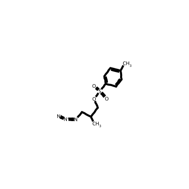 Cc1ccc(S(=O)(=O)OCC(C)CN=[N+]=[N-])cc1